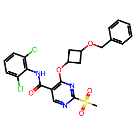 CS(=O)(=O)c1ncc(C(=O)Nc2c(Cl)cccc2Cl)c(OC2CC(OCc3ccccc3)C2)n1